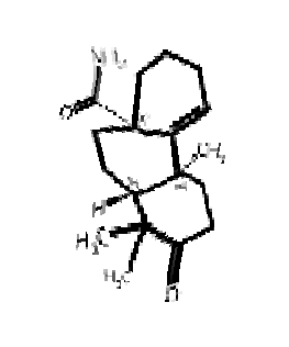 CC1(C)C(=O)CC[C@]2(C)C3=CCCC[C@]3(C(N)=O)CC[C@@H]12